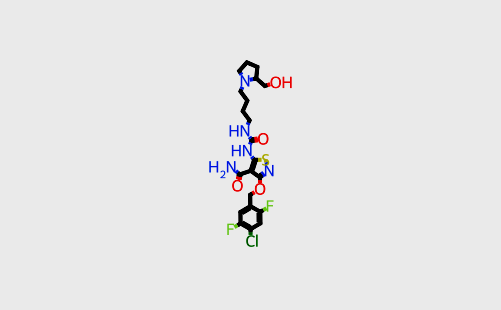 NC(=O)c1c(OCc2cc(F)c(Cl)cc2F)nsc1NC(=O)NCCCCN1CCCC1CO